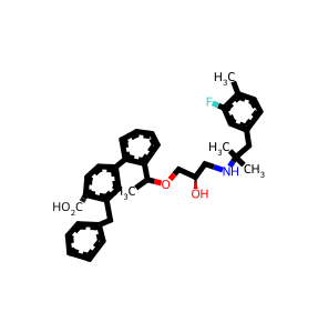 Cc1ccc(CC(C)(C)NC[C@@H](O)COC(C)c2ccccc2-c2ccc(C(=O)O)c(Cc3ccccc3)c2)cc1F